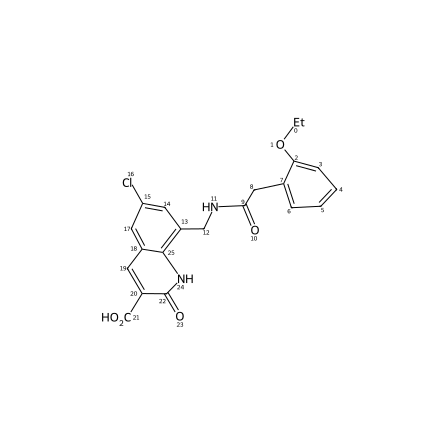 CCOc1ccccc1CC(=O)NCc1cc(Cl)cc2cc(C(=O)O)c(=O)[nH]c12